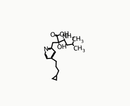 CC(C)C[C@H](N)[C@](O)(Cc1cc(CCCC2CC2)ccn1)C(=O)O